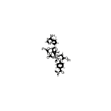 CC(C)OC(=O)[C@H](C)N[P@](=O)(Oc1ccc(C(=O)N(C)C)cc1)OC1[C@@]2(C)O[C@@H](c3ccc4c(N)ncnn34)[C@H](OC(=O)C(C)C)[C@@]12OC(=O)C(C)C